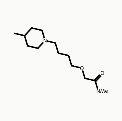 CNC(=O)COCCCCN1CCC(C)CC1